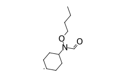 CCCCON(C=O)C1CC[CH]CC1